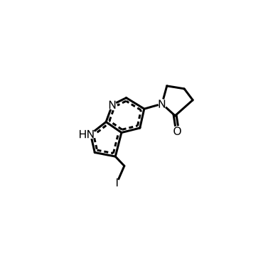 O=C1CCCN1c1cnc2[nH]cc(CI)c2c1